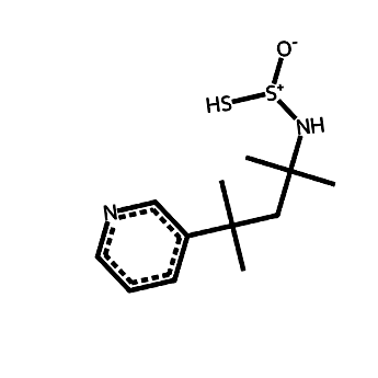 CC(C)(CC(C)(C)c1cccnc1)N[S+]([O-])S